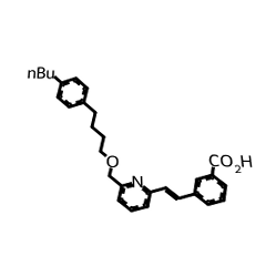 CCCCc1ccc(CCCCOCc2cccc(C=Cc3cccc(C(=O)O)c3)n2)cc1